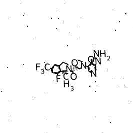 C[C@@H]1c2c(F)cc(C(F)(F)F)cc2CCN1C(=O)[C@H]1CN(c2cncc3nc(N)oc23)CCO1